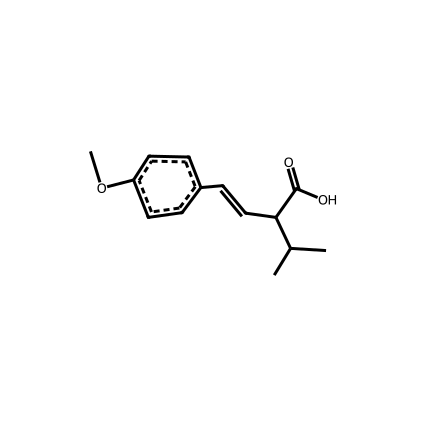 COc1ccc(C=CC(C(=O)O)C(C)C)cc1